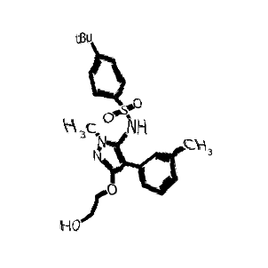 Cc1cccc(-c2c(OCCO)nn(C)c2NS(=O)(=O)c2ccc(C(C)(C)C)cc2)c1